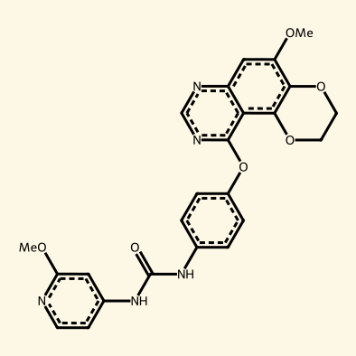 COc1cc(NC(=O)Nc2ccc(Oc3ncnc4cc(OC)c5c(c34)OCCO5)cc2)ccn1